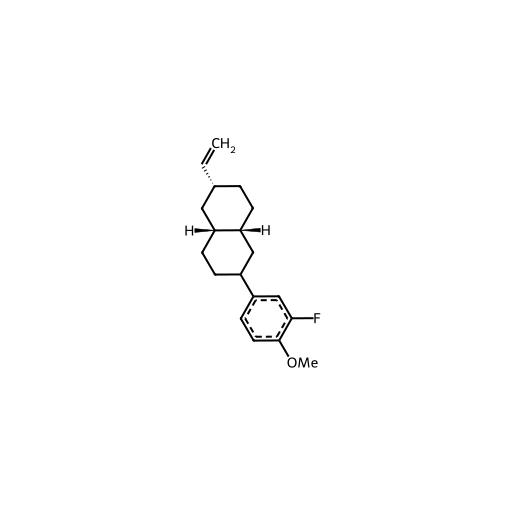 C=C[C@@H]1CC[C@@H]2CC(c3ccc(OC)c(F)c3)CC[C@@H]2C1